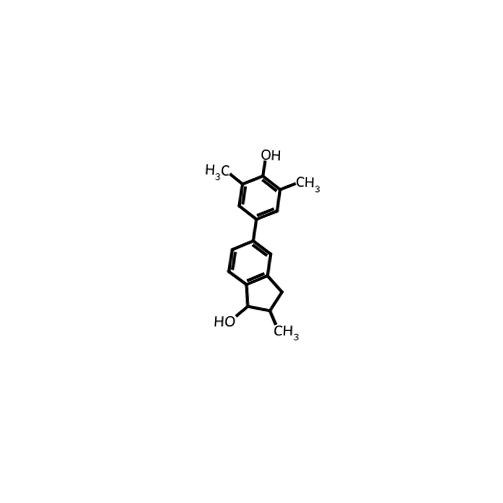 Cc1cc(-c2ccc3c(c2)CC(C)C3O)cc(C)c1O